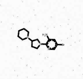 Nc1cc(Br)cnc1N1CCC(N2CCCCC2)C1